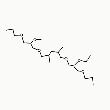 CCCOCC(COCC(C)CC(C)COCC(COCCC)OCC)OC